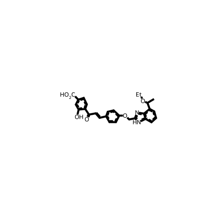 CCOC(C)c1cccc2[nH]c(COc3ccc(C=CC(=O)c4ccc(C(=O)O)cc4O)cc3)nc12